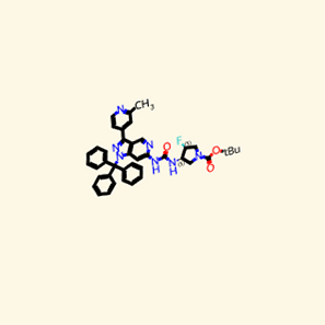 Cc1cc(-c2nn(C(c3ccccc3)(c3ccccc3)c3ccccc3)c3cc(NC(=O)N[C@H]4CN(C(=O)OC(C)(C)C)C[C@@H]4F)ncc23)ccn1